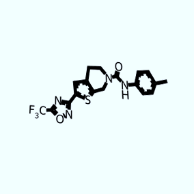 Cc1ccc(NC(=O)N2CCc3cc(-c4noc(C(F)(F)F)n4)sc3C2)cc1